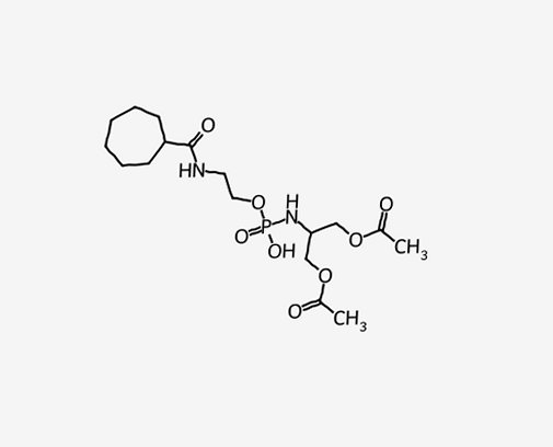 CC(=O)OCC(COC(C)=O)NP(=O)(O)OCCNC(=O)C1CCCCCC1